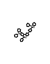 c1ccc(-c2nc3ccc(-c4ccc(-c5nc6ccccc6n5-c5ccccc5)cc4)cc3c3cc4c5ccccc5n(-c5ccccc5)c4cc23)cc1